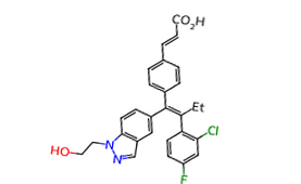 CCC(=C(c1ccc(C=CC(=O)O)cc1)c1ccc2c(cnn2CCO)c1)c1ccc(F)cc1Cl